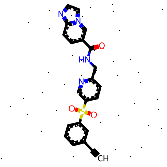 C#Cc1cccc(S(=O)(=O)c2ccc(CNC(=O)c3ccc4nccn4c3)nc2)c1